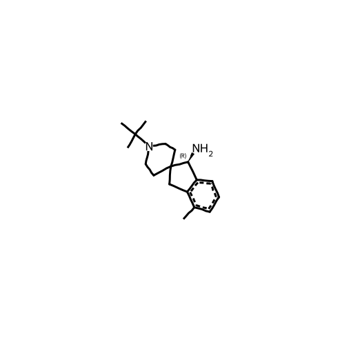 Cc1cccc2c1CC1(CCN(C(C)(C)C)CC1)[C@H]2N